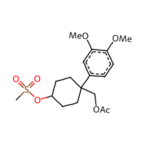 COc1ccc(C2(COC(C)=O)CCC(OS(C)(=O)=O)CC2)cc1OC